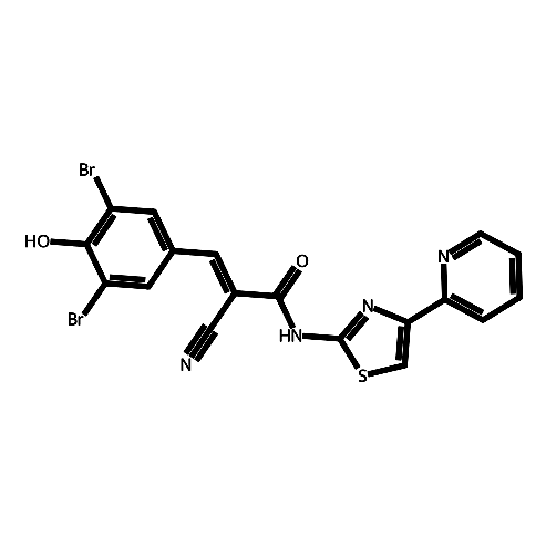 N#C/C(=C\c1cc(Br)c(O)c(Br)c1)C(=O)Nc1nc(-c2ccccn2)cs1